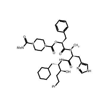 CNC(=O)N1CCN(C(=O)O[C@@H](Cc2ccccc2)C(=O)N(C)[C@@H](Cc2c[nH]cn2)C(=O)N[C@@H](CC2CCCCC2)[C@@H](O)CCC(C)C)CC1